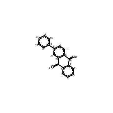 O=C1c2ccccc2C(=S)c2ccc(-c3ccccc3)cc21